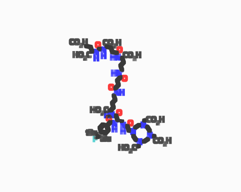 CC(C)(C)[Si](F)(c1ccc(C(=O)N[C@H](CNC(=O)CN2CCN(CC(=O)O)CCN(CC(=O)O)CCN(CC(=O)O)CC2)C(=O)N[C@H](CCCCNC(=O)CCC(=O)NCCC[C@H](NC(=O)CC[C@H](NC(=O)N[C@@H](CCC(=O)O)C(=O)O)C(=O)O)C(=O)O)C(=O)O)cc1)C(C)(C)C